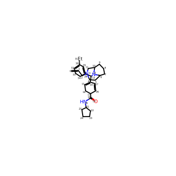 C=CCN1CCC2CCCC(C1)N2C(C1=CCC(C(=O)NC2CCCC2)C=C1)C1=CC(CC)=CCC1